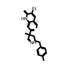 C=C1NC(=C/C(=C)C(C)(C=N)CCCc2ccc(C)cc2)/C(=C\C)C=C1CC